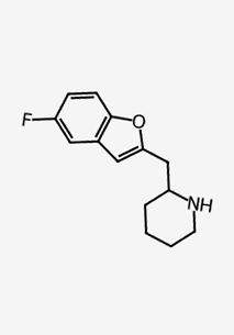 Fc1ccc2oc(CC3CCCCN3)cc2c1